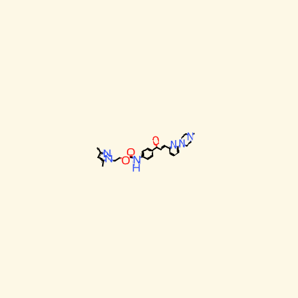 Cc1cc(C)n(CCOC(=O)Nc2ccc(C(=O)/C=C/c3cccc(N4CCN(C)CC4)n3)cc2)n1